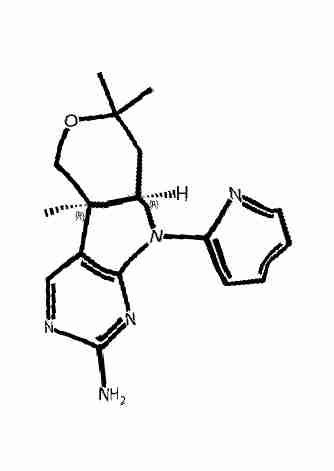 CC1(C)C[C@H]2N(c3ccccn3)c3nc(N)ncc3[C@@]2(C)CO1